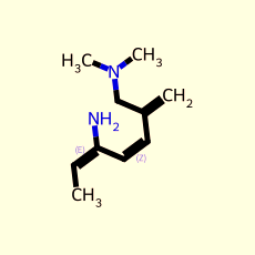 C=C(/C=C\C(N)=C/C)CN(C)C